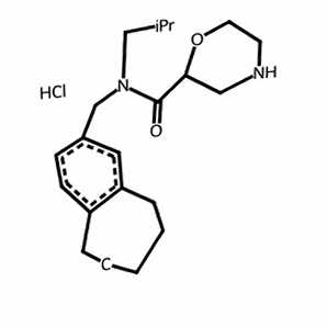 CC(C)CN(Cc1ccc2c(c1)CCCCC2)C(=O)C1CNCCO1.Cl